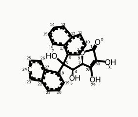 O=C1O[C@H]([C@@H](O)C(O)(c2cccc3ccccc23)c2cccc3ccccc23)C(O)=C1O